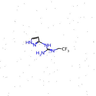 N/C(=N/CC(F)(F)F)Nc1cc[nH]n1